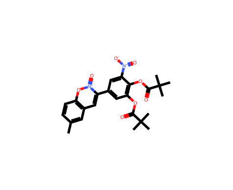 Cc1ccc2o[n+](=O)c(-c3cc(OC(=O)C(C)(C)C)c(OC(=O)C(C)(C)C)c([N+](=O)[O-])c3)cc2c1